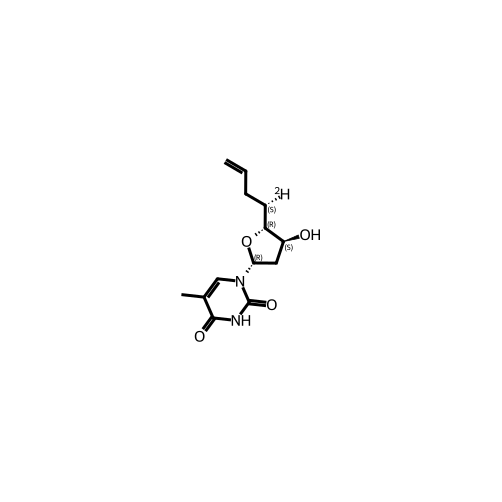 [2H][C@@H](CC=C)[C@H]1O[C@@H](n2cc(C)c(=O)[nH]c2=O)C[C@@H]1O